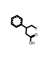 O=C(O)CC(CF)c1ccccc1